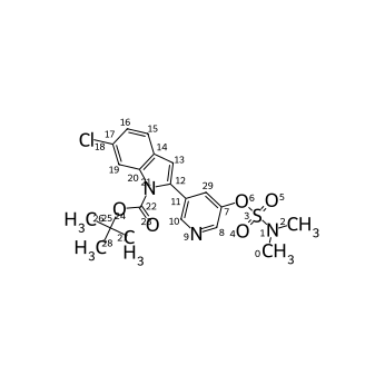 CN(C)S(=O)(=O)Oc1cncc(-c2cc3ccc(Cl)cc3n2C(=O)OC(C)(C)C)c1